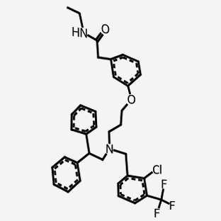 CCNC(=O)Cc1cccc(OCCCN(Cc2cccc(C(F)(F)F)c2Cl)CC(c2ccccc2)c2ccccc2)c1